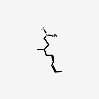 C/C=C\C=C/CC(C)CCN(CC)CCC